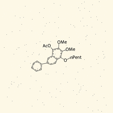 CCCCCOc1c(OC)c(OC)c(OC(C)=O)c2cc(-c3ccccc3)ccc12